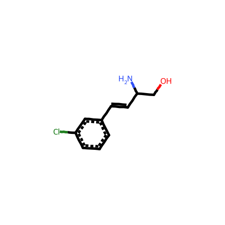 NC(C=Cc1cccc(Cl)c1)CO